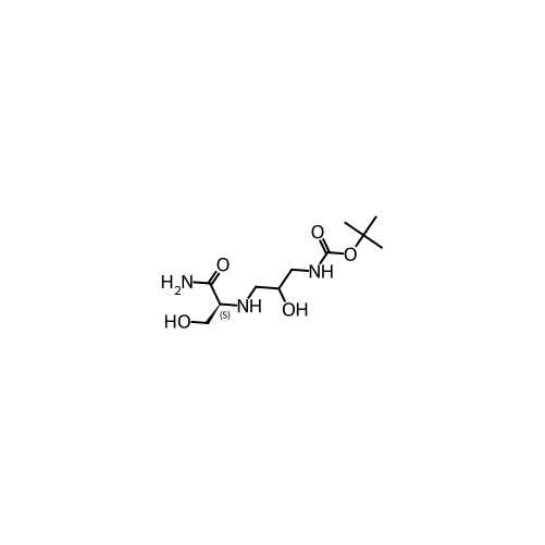 CC(C)(C)OC(=O)NCC(O)CN[C@@H](CO)C(N)=O